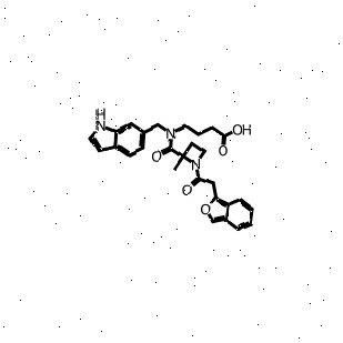 CC1(C(=O)N(CCCC(=O)O)Cc2ccc3cc[nH]c3c2)CCN1C(=O)Cc1occ2ccccc12